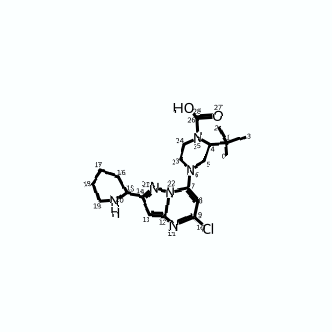 CC(C)(C)C1CN(c2cc(Cl)nc3cc(C4CCCCN4)nn23)CCN1C(=O)O